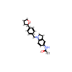 CCC(=O)Nc1ccc2c(c1)CCN2Cc1ccc(C2CCCO2)cc1